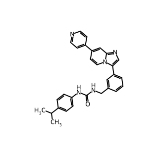 CC(C)c1ccc(NC(=O)NCc2cccc(-c3cnc4cc(-c5ccncc5)ccn34)c2)cc1